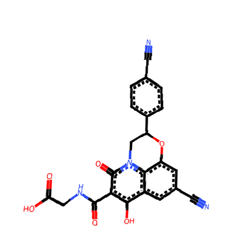 N#Cc1ccc(C2Cn3c(=O)c(C(=O)NCC(=O)O)c(O)c4cc(C#N)cc(c43)O2)cc1